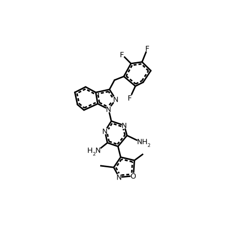 Cc1noc(C)c1-c1c(N)nc(-n2nc(Cc3c(F)ccc(F)c3F)c3ccccc32)nc1N